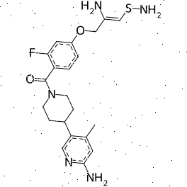 Cc1cc(N)ncc1C1CCN(C(=O)c2ccc(OC/C(N)=C/SN)cc2F)CC1